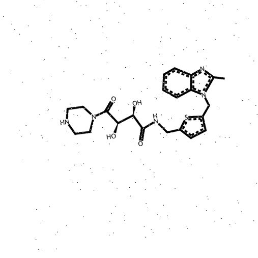 Cc1nc2ccccc2n1Cc1ccc(CNC(=O)[C@H](O)[C@@H](O)C(=O)N2CCNCC2)s1